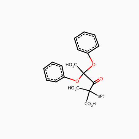 CCCC(C(=O)O)(C(=O)O)C(=O)C(Oc1ccccc1)(Oc1ccccc1)C(=O)O